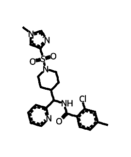 Cc1ccc(C(=O)NC(c2ccccn2)C2CCN(S(=O)(=O)c3cn(C)cn3)CC2)c(Cl)c1